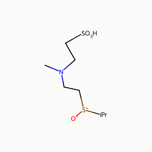 CC(C)[S+]([O-])CCN(C)CCS(=O)(=O)O